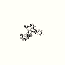 CN1CCC(c2nc(-c3cccc(NS(=O)(=O)c4cc(F)ccc4F)c3F)c(-c3ccnc(N)c3)s2)CC1